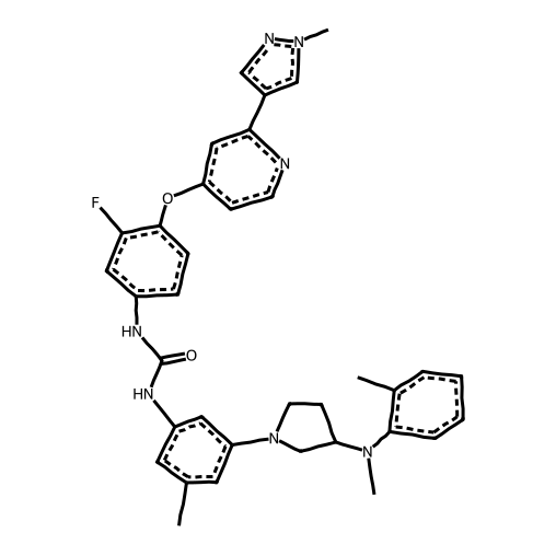 Cc1cc(NC(=O)Nc2ccc(Oc3ccnc(-c4cnn(C)c4)c3)c(F)c2)cc(N2CCC(N(C)c3ccccc3C)C2)c1